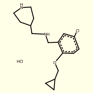 Cl.Clc1ccc(OCC2CC2)c(CNCC2CCNCC2)c1